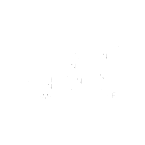 COC1COCCC1NC1CC2CN(C(=O)OCCN3CCOCC3)CC2(C(=O)N2CCc3ncc(C(F)(F)F)cc3C2)C1